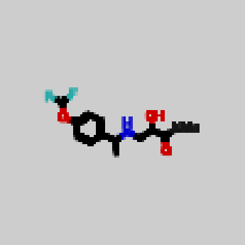 CNC(=O)C(O)CNC(C)c1ccc(OC(F)F)cc1